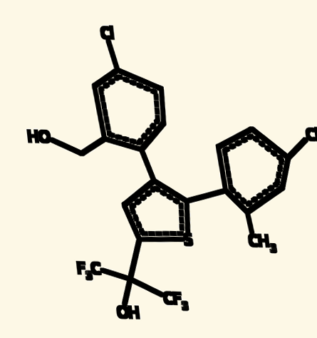 Cc1cc(Cl)ccc1-c1sc(C(O)(C(F)(F)F)C(F)(F)F)cc1-c1ccc(Cl)cc1CO